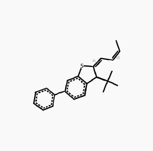 C/C=C\C=C1\Sc2cc(-c3ccccc3)ccc2C1C(C)(C)C